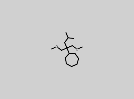 COCC(COC)(CC(C)C)C1CCCCCC1